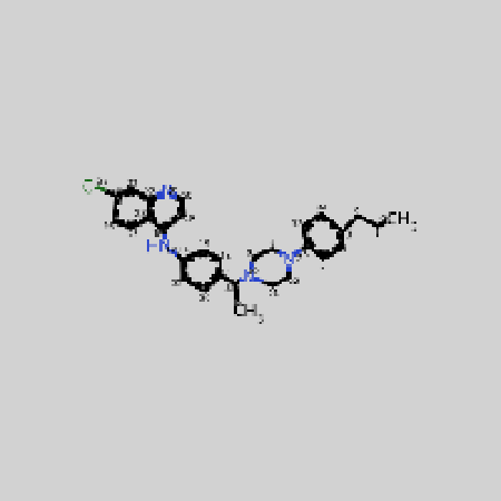 CCCc1ccc(N2CCN(C(C)c3ccc(Nc4ccnc5cc(Cl)ccc45)cc3)CC2)cc1